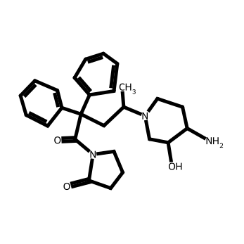 CC(CC(C(=O)N1CCCC1=O)(c1ccccc1)c1ccccc1)N1CCC(N)C(O)C1